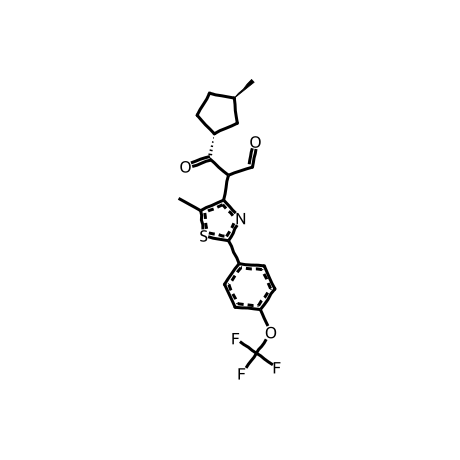 Cc1sc(-c2ccc(OC(F)(F)F)cc2)nc1C(C=O)C(=O)[C@@H]1CC[C@@H](C)C1